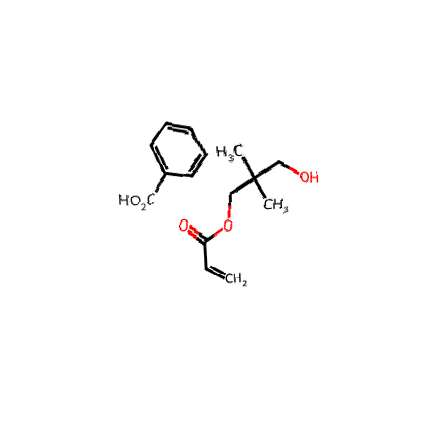 C=CC(=O)OCC(C)(C)CO.O=C(O)c1ccccc1